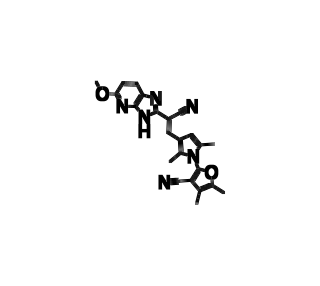 COc1ccc2nc(/C(C#N)=C/c3cc(C)n(-c4oc(C)c(C)c4C#N)c3C)[nH]c2n1